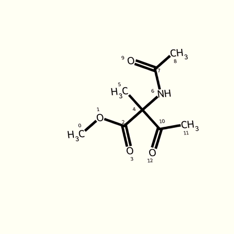 COC(=O)C(C)(NC(C)=O)C(C)=O